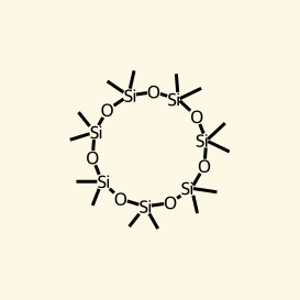 C[Si]1(C)O[Si](C)(C)O[Si](C)(C)O[Si](C)(C)O[Si](C)(C)O[Si](C)(C)O[Si](C)(C)O1